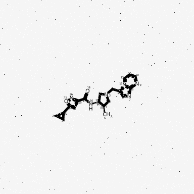 C[C@@H]1CN(Cc2cnc3ncccn23)C[C@@H]1NC(=O)c1cc(C2CC2)on1